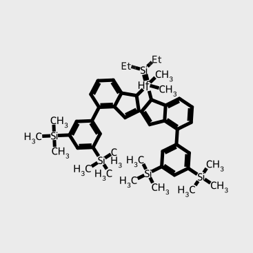 CC[Si](CC)=[Hf]([CH3])([CH3])([CH]1C=Cc2c(-c3cc([Si](C)(C)C)cc([Si](C)(C)C)c3)cccc21)[CH]1C=Cc2c(-c3cc([Si](C)(C)C)cc([Si](C)(C)C)c3)cccc21